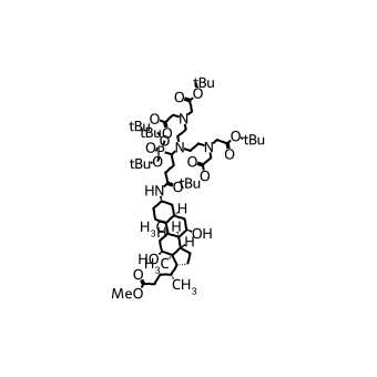 COC(=O)CC[C@@H](C)[C@H]1CC[C@H]2[C@@H]3[C@H](O)C[C@@H]4C[C@H](NC(=O)CCC(N(CCN(CC(=O)OC(C)(C)C)CC(=O)OC(C)(C)C)CCN(CC(=O)OC(C)(C)C)CC(=O)OC(C)(C)C)P(=O)(OC(C)(C)C)OC(C)(C)C)CC[C@]4(C)[C@H]3C[C@H](O)[C@]12C